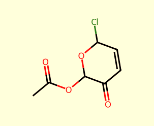 CC(=O)OC1OC(Cl)C=CC1=O